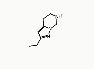 CCc1cc2n(n1)CNCC2